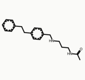 CC(=O)NCCCNCc1ccc(CCc2ccccc2)cc1